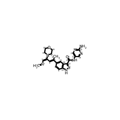 C=N/C=C(\C=C(/C)c1ccc2[nH]nc(C(=O)Nc3cnc(N)nc3)c2c1)N1CCOCC1